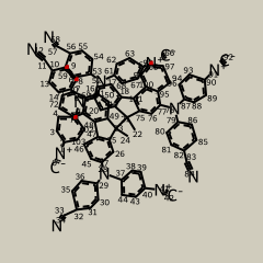 [C-]#[N+]c1ccc(N(c2ccc(C#N)cc2)c2ccc3c(c2)C(C)(C2(C)c4cc(N(c5ccc(C#N)cc5)c5ccc([N+]#[C-])cc5)ccc4-c4c2cc(N(c2ccc(C#N)cc2)c2ccc([N+]#[C-])cc2)c2ccccc42)c2cc(N(c4ccc(C#N)cc4)c4ccc([N+]#[C-])cc4)c4ccccc4c2-3)cc1